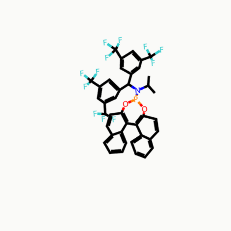 CC(C)N(C(c1cc(C(F)(F)F)cc(C(F)(F)F)c1)c1cc(C(F)(F)F)cc(C(F)(F)F)c1)p1oc2ccc3ccccc3c2c2c(ccc3ccccc32)o1